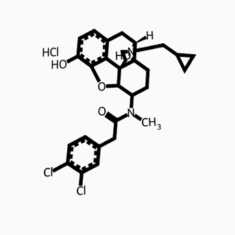 CN(C(=O)Cc1ccc(Cl)c(Cl)c1)C1CC[C@@]2(O)[C@H]3Cc4ccc(O)c5c4[C@@]2(CCN3CC2CC2)C1O5.Cl